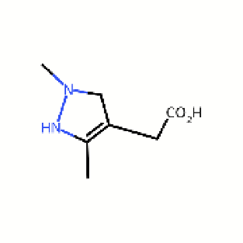 CC1=C(CC(=O)O)CN(C)N1